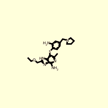 CCOCc1nc2c(N)nc(C)c(Sc3ccc(CN4CCCC4)cc3N)c2[nH]1